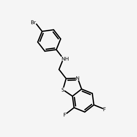 Fc1cc(F)c2sc(CNc3ccc(Br)cc3)nc2c1